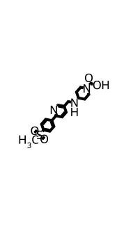 CS(=O)(=O)c1ccc(-c2ccc(CNC3CCN(C(=O)O)CC3)cn2)cc1